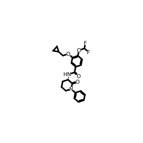 O=C(N[C@H]1CCCN(c2ccccc2)C1=O)c1ccc(OC(F)F)c(OCC2CC2)c1